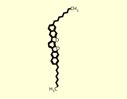 CCCCCCCCc1ccc2cc3c(cc2c1)oc1c3ccc2c3cc4ccc(CCCCCCCC)cc4cc3oc21